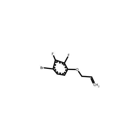 C=CCOc1ccc(Br)c(F)c1F